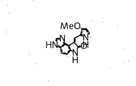 COc1cc[nH]c1C=C1C(=O)Nc2ccc3[nH]cnc3c21